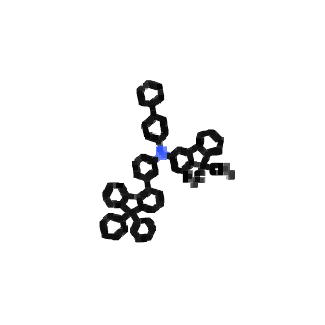 CC1(C)c2ccccc2-c2cc(N(c3ccc(-c4ccccc4)cc3)c3cccc(-c4cccc5c4-c4ccccc4C5(c4ccccc4)c4ccccc4)c3)ccc21